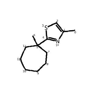 Cc1csc(C2(C)CCCCCC2)n1